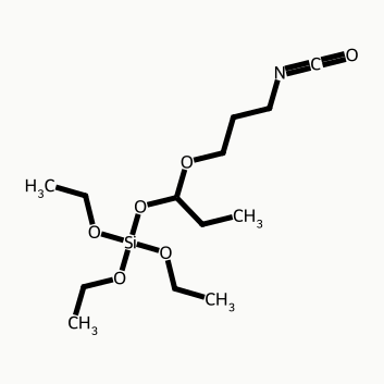 CCO[Si](OCC)(OCC)OC(CC)OCCCN=C=O